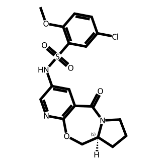 COc1ccc(Cl)cc1S(=O)(=O)Nc1cnc2c(c1)C(=O)N1CCC[C@H]1CO2